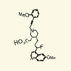 COc1ccc2nccc(C(F)CC[C@@H]3CCN(CC#Cc4ccccc4OC)C[C@@H]3CC(=O)O)c2c1